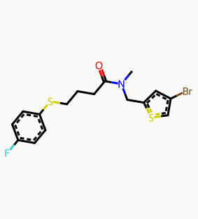 CN(Cc1cc(Br)cs1)C(=O)CCCSc1ccc(F)cc1